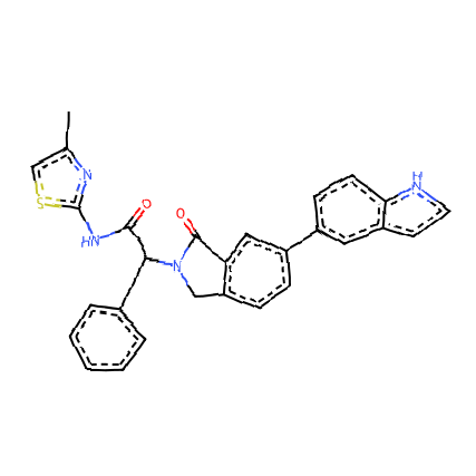 Cc1csc(NC(=O)C(c2ccccc2)N2Cc3ccc(-c4ccc5[nH]ccc5c4)cc3C2=O)n1